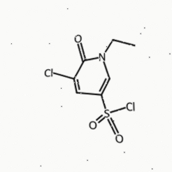 CCn1cc(S(=O)(=O)Cl)cc(Cl)c1=O